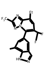 CCc1cc(C(F)F)c(-c2cc(C)c3[nH]ncc3c2)n2nc(C(F)(F)F)nc12